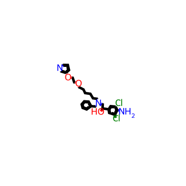 Nc1c(Cl)cc(C(O)CN(CCCCCCOCCOc2cccnc2)Cc2ccccc2)cc1Cl